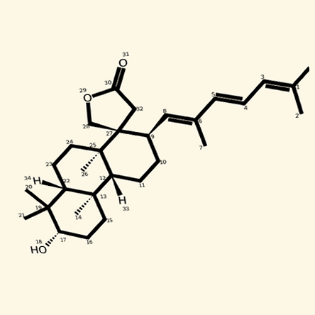 CC(C)=C/C=C/C(C)=C/[C@H]1CC[C@@H]2[C@@]3(C)CC[C@H](O)C(C)(C)[C@@H]3CC[C@@]2(C)[C@@]12COC(=O)C2